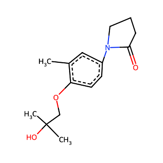 Cc1cc(N2CCCC2=O)ccc1OCC(C)(C)O